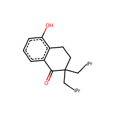 CC(C)CC1(CC(C)C)CCc2c(O)cccc2C1=O